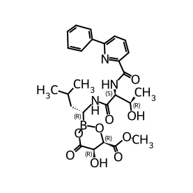 COC(=O)[C@@H]1OB([C@H](CC(C)C)NC(=O)[C@@H](NC(=O)c2cccc(-c3ccccc3)n2)[C@@H](C)O)OC(=O)[C@@H]1O